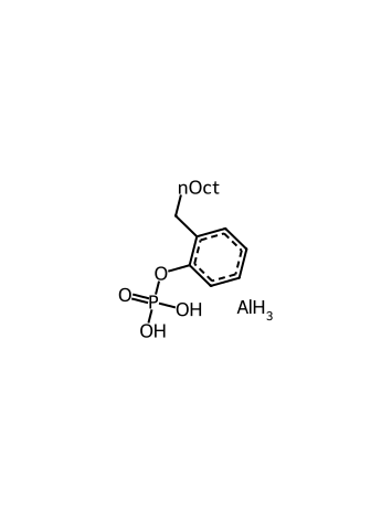 CCCCCCCCCc1ccccc1OP(=O)(O)O.[AlH3]